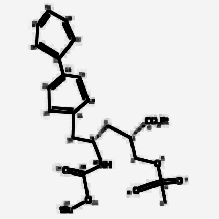 CCOC(=O)[C@H](COS(C)(=O)=O)C[C@@H](Cc1ccc(-c2ccccc2)cc1)NC(=O)OC(C)(C)C